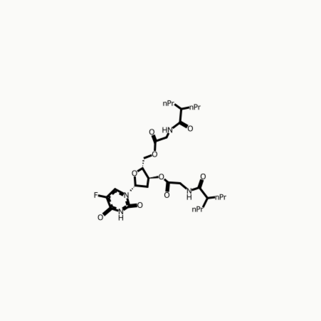 CCCC(CCC)C(=O)NCC(=O)OC[C@H]1O[C@@H](n2cc(F)c(=O)[nH]c2=O)C[C@@H]1OC(=O)CNC(=O)C(CCC)CCC